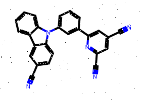 N#Cc1cc(C#N)nc(-c2cccc(-n3c4ccccc4c4cc(C#N)ccc43)c2)c1